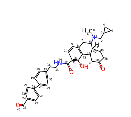 CN(CC1CC1)[C@@H]1Cc2ccc(C(=O)NCCc3ccc(-c4ccc(C=O)cc4)cc3)c(O)c2C2CC(=O)CC[C@H]21